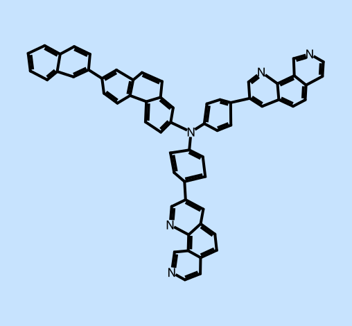 c1ccc2cc(-c3ccc4c(ccc5cc(N(c6ccc(-c7cnc8c(ccc9ccncc98)c7)cc6)c6ccc(-c7cnc8c(ccc9ccncc98)c7)cc6)ccc54)c3)ccc2c1